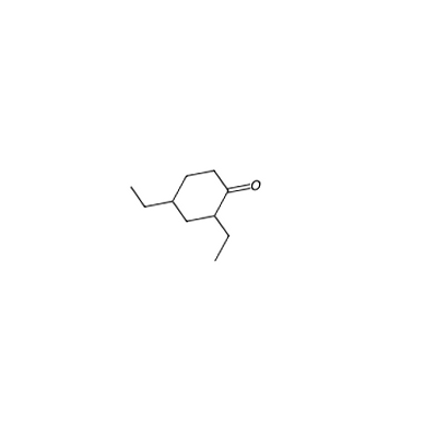 CCC1CCC(=O)C(CC)C1